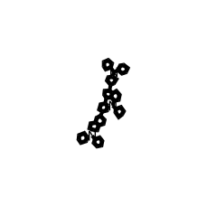 c1ccc(N(c2ccccc2)c2ccc(-c3ccc4c5c(cccc35)N(c3ccccc3)c3cc(-c5ccc6cc(N(c7ccccc7)c7ccccc7)ccc6c5)ccc3-4)cc2)cc1